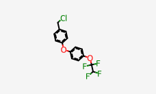 FC(F)C(F)(F)Oc1ccc(Oc2ccc(CCl)cc2)cc1